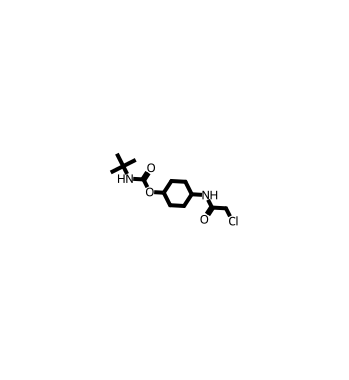 CC(C)(C)NC(=O)OC1CCC(NC(=O)CCl)CC1